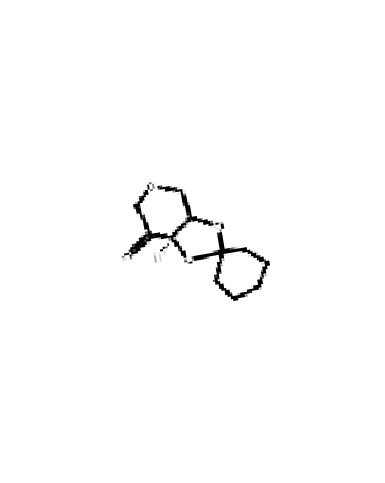 O=C1COCC2OC3(CCCCC3)O[C@@H]12